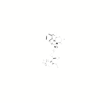 CC[C@@H](C)[C@H](NC(C)=O)C(=O)OCOC(=O)N(C)[C@]1(c2ccccc2Cl)CCCCC1=O